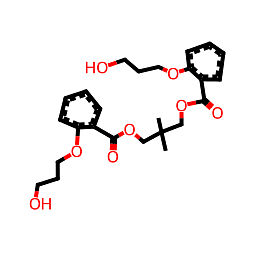 CC(C)(COC(=O)c1ccccc1OCCCO)COC(=O)c1ccccc1OCCCO